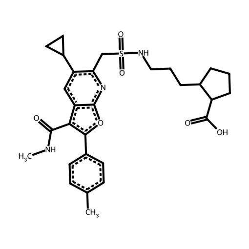 CNC(=O)c1c(-c2ccc(C)cc2)oc2nc(CS(=O)(=O)NCCCC3CCCC3C(=O)O)c(C3CC3)cc12